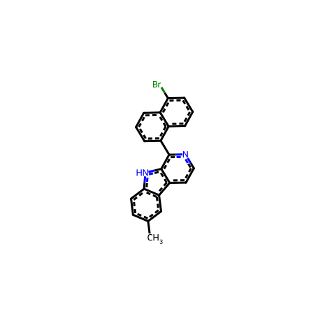 Cc1ccc2[nH]c3c(-c4cccc5c(Br)cccc45)nccc3c2c1